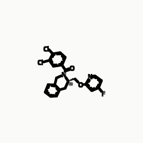 O=C(c1ccc(Cl)c(Cl)c1)N1Cc2ccccc2C[C@H]1COc1cc(F)ccn1